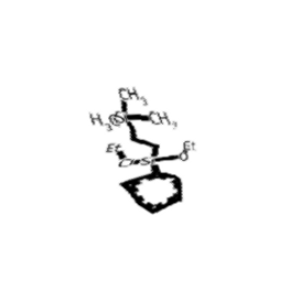 CCO[Si](CC[Si](C)(C)C)(OCC)c1ccccc1